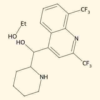 CCO.OC(c1cc(C(F)(F)F)nc2c(C(F)(F)F)cccc12)C1CCCCN1